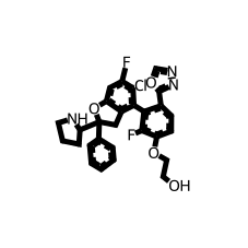 OCCOc1ccc(-c2nnco2)c(-c2c(Cl)c(F)cc3c2CC(c2ccccc2)(C2CCCN2)O3)c1F